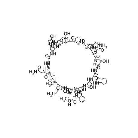 CCCC[C@H]1C(=O)N(C)[C@@H](CCCC)C(=O)N[C@@H](C)C(=O)N[C@H](C(=O)NCC(N)=O)CCNCC(=O)N[C@@H](Cc2ccc(O)cc2)C(=O)N(C)[C@@H](C)C(=O)NC(CC(=O)O)C(=O)N2CCC[C@H]2C(=O)N[C@@H](Cc2cnc[nH]2)C(=O)N[C@@H](CCC(N)=O)C(=O)N2C[C@H](O)C[C@H]2C(=O)N[C@@H](Cc2c[nH]c3ccccc23)C(=O)N[C@@H](CO)C(=O)N[C@@H](Cc2cn(CC(=O)O)c3ccccc23)C(=O)N1C